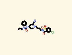 CCCn1c(=O)n(C2CCN(CCCCN3C(=O)c4cc(Cl)ccc4S3(=O)=O)C(C#N)C2)c2ccccc21